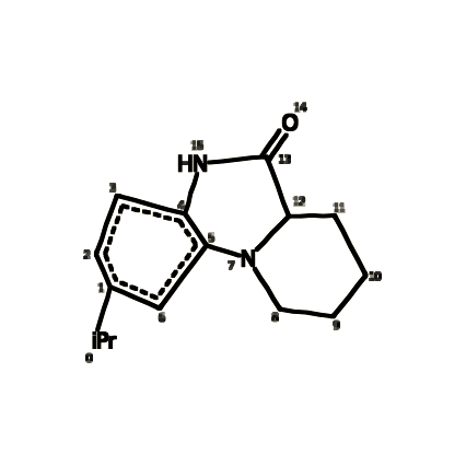 CC(C)c1ccc2c(c1)N1CCCCC1C(=O)N2